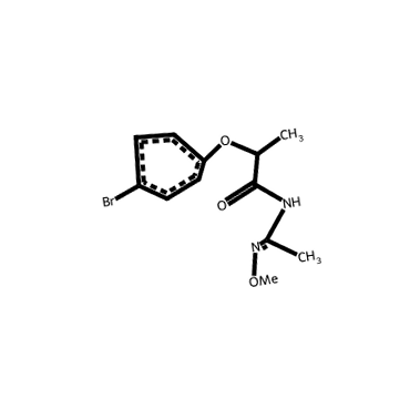 CON=C(C)NC(=O)C(C)Oc1ccc(Br)cc1